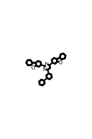 c1ccc(-c2cccc(-c3cc(-c4ccc5c(c4)oc4ccccc45)nc(-c4ccc5c(c4)oc4ccccc45)n3)c2)cc1